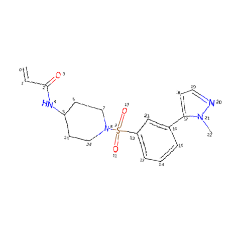 C=CC(=O)NC1CCN(S(=O)(=O)c2cccc(-c3ccnn3C)c2)CC1